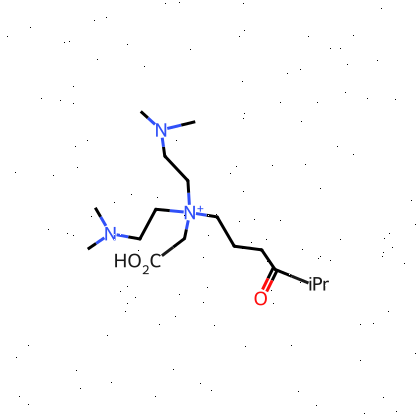 CC(C)C(=O)CCC[N+](CCN(C)C)(CCN(C)C)CC(=O)O